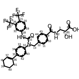 O=C(NC[C@@H](O)C(=O)O)c1ccc(CN(C(=O)Nc2ccc(C(F)(F)F)c(C(F)(F)F)c2)c2ccc(C3=CCCCC3)cc2)cc1